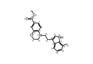 CO[N+](=O)c1ccc2c(c1)OCCN2CCc1c[nH]c2c(C)cccc12